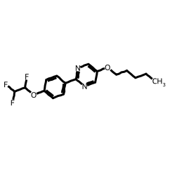 CCCCCOc1cnc(-c2ccc(OC(F)C(F)F)cc2)nc1